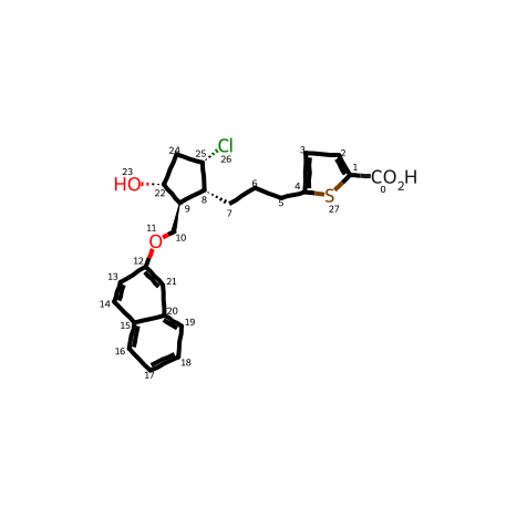 O=C(O)c1ccc(CCC[C@@H]2[C@@H](COc3ccc4ccccc4c3)[C@H](O)C[C@@H]2Cl)s1